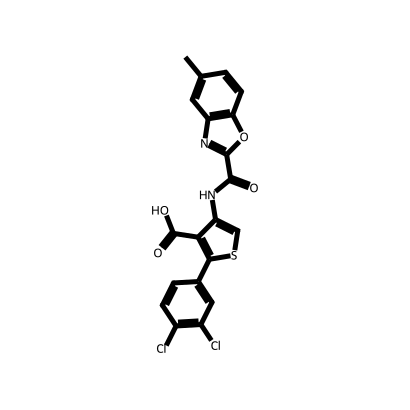 Cc1ccc2oc(C(=O)Nc3csc(-c4ccc(Cl)c(Cl)c4)c3C(=O)O)nc2c1